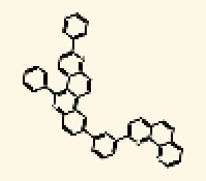 c1ccc(-c2ccc3c(ccc4c5cc(-c6cccc(-c7ccc8ccc9cccnc9c8n7)c6)ccc5nc(-c5ccccc5)c34)n2)cc1